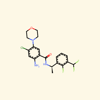 C[C@@H](NC(=O)c1cc(N2CCOCC2)c(Cl)cc1N)c1cccc(C(F)F)c1F